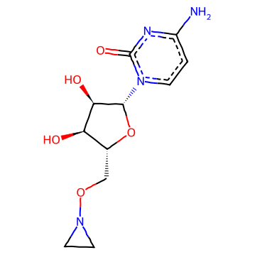 Nc1ccn([C@@H]2O[C@H](CON3CC3)[C@@H](O)[C@H]2O)c(=O)n1